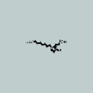 CCCCCCCCCCCCCCCCCn1cc[n+](CC)c1CCCCCCCCCCCC